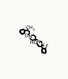 CC(CC(=O)N1CCC(O)(CN2C=CC(c3ccccc3F)=NC2)CC1)c1ccccc1